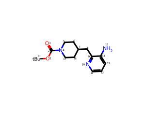 CC(C)(C)OC(=O)N1CCC(Cc2ncccc2N)CC1